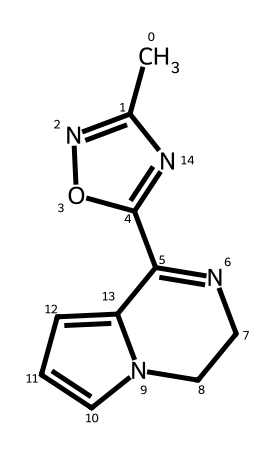 Cc1noc(C2=NCCn3cccc32)n1